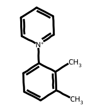 Cc1cccc(-[n+]2ccccc2)c1C